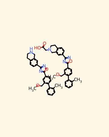 COCc1cc(-c2nc(-c3ccc4c(c3)CN(CC(=O)O)CC4)no2)ccc1-c1ccccc1C.COCc1cc(-c2nc(-c3ccc4c(c3)CNCC4)no2)ccc1-c1ccccc1C